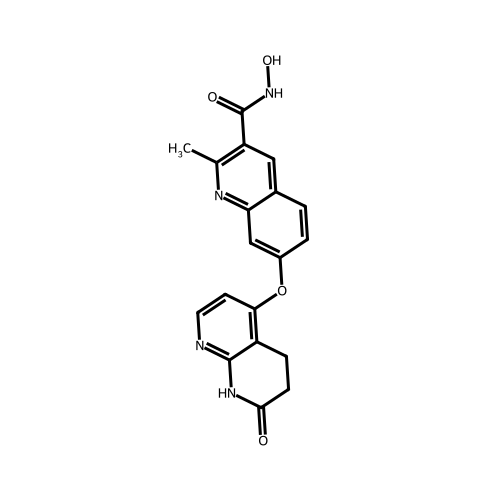 Cc1nc2cc(Oc3ccnc4c3CCC(=O)N4)ccc2cc1C(=O)NO